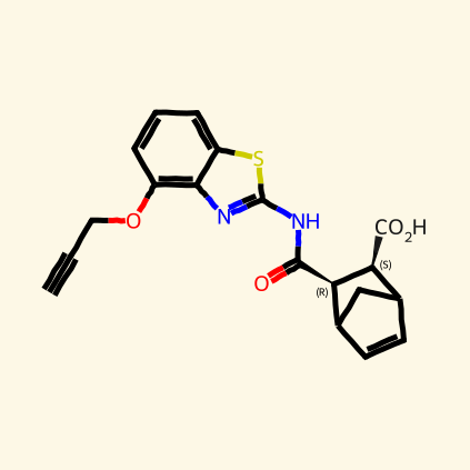 C#CCOc1cccc2sc(NC(=O)[C@@H]3C4C=CC(C4)[C@@H]3C(=O)O)nc12